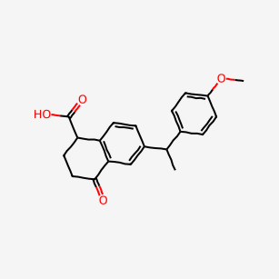 COc1ccc(C(C)c2ccc3c(c2)C(=O)CCC3C(=O)O)cc1